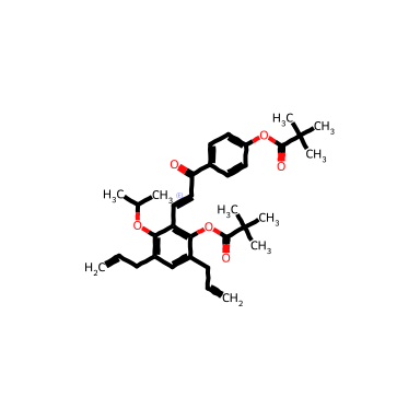 C=CCc1cc(CC=C)c(OC(C)C)c(/C=C/C(=O)c2ccc(OC(=O)C(C)(C)C)cc2)c1OC(=O)C(C)(C)C